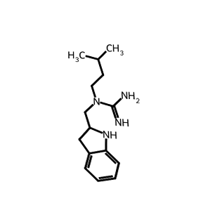 CC(C)CCN(CC1Cc2ccccc2N1)C(=N)N